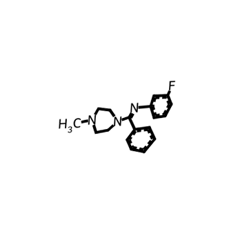 CN1CCN(C(=Nc2cccc(F)c2)c2ccccc2)CC1